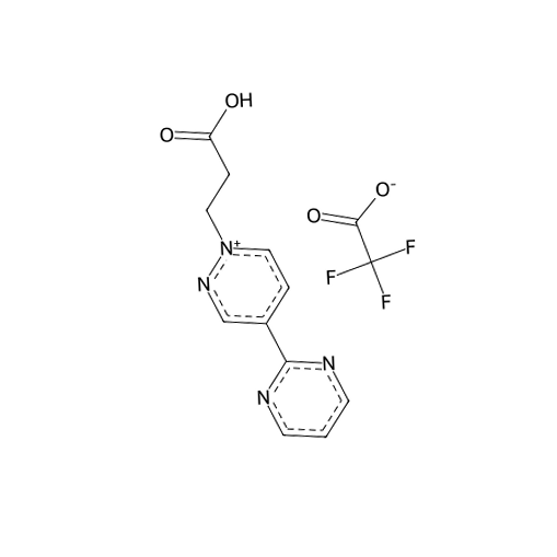 O=C(O)CC[n+]1ccc(-c2ncccn2)cn1.O=C([O-])C(F)(F)F